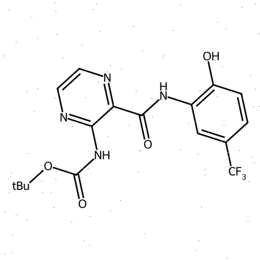 CC(C)(C)OC(=O)Nc1nccnc1C(=O)Nc1cc(C(F)(F)F)ccc1O